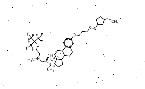 COC1CCC(SSCCCOc2ccc3c(c2)CCC2C3CC[C@@]3(C)C2CC[C@@H]3N(C)C(=O)CN(C)CCOC(C(F)(F)F)(C(F)(F)F)C(F)(F)F)C1